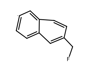 FCc1ccc2c[c]ccc2c1